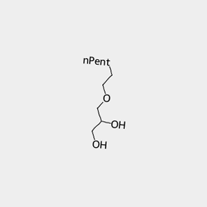 CCCCCCCOCC(O)CO